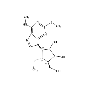 CC[C@H]1[C@H](CO)C(O)C(O)[C@@H]1n1cnc2c(NC)nc(SC)nc21